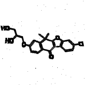 CC1(C)c2cc(OCC(O)CO)ccc2C(=O)c2c1oc1cc(Cl)ccc21